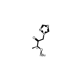 CCCCO[C@@H](C)C(=O)Cn1cncn1